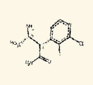 NC(=O)[C@@H](c1ccnc(Cl)c1F)[C@@H](N)C(=O)O